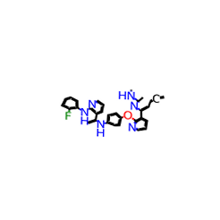 C=C=C/C=C(\N=C(/C)NC)c1cccnc1Oc1ccc(NC(=C)c2cccnc2Nc2ccccc2F)cc1